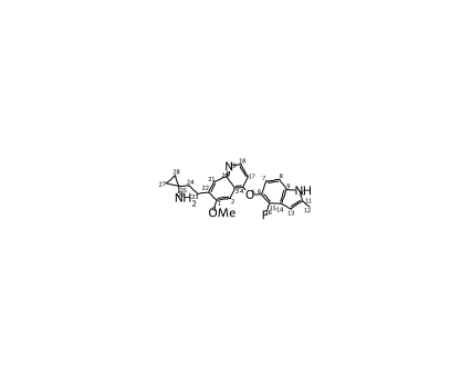 COc1cc2c(Oc3ccc4[nH]c(C)cc4c3F)ccnc2cc1CCC1(N)CC1